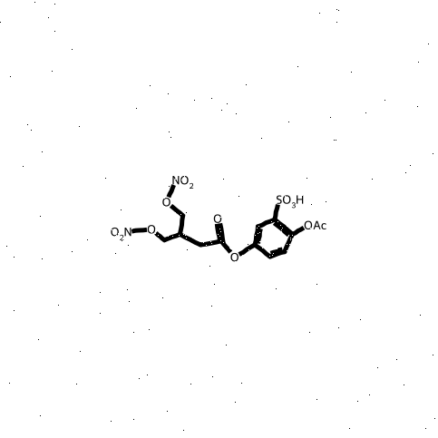 CC(=O)Oc1ccc(OC(=O)CC(CO[N+](=O)[O-])CO[N+](=O)[O-])cc1S(=O)(=O)O